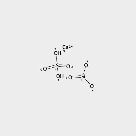 O=S(=O)(O)O.O=[Si]([O-])[O-].[Ca+2]